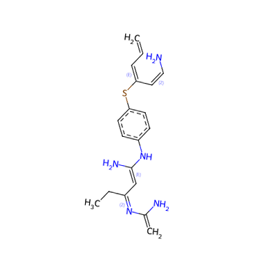 C=C/C=C(\C=C/N)Sc1ccc(N/C(N)=C/C(CC)=N\C(=C)N)cc1